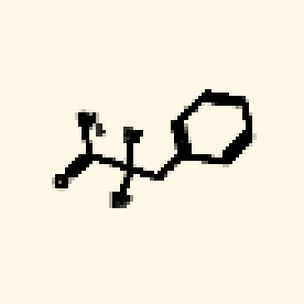 CC(=O)C(Br)(Br)Cc1ccccc1